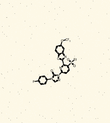 CCS(=O)(=O)c1ccc(-n2ncn(-c3ccc(F)cc3)c2=O)nc1-c1nc2cc(OC(F)(F)F)ccc2o1